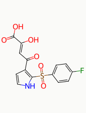 O=C(O)C(O)=CC(=O)c1cc[nH]c1S(=O)(=O)c1ccc(F)cc1